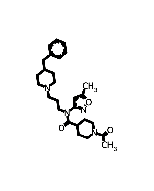 CC(=O)N1CCC(C(=O)N(CCCN2CCC(Cc3ccccc3)CC2)c2cc(C)on2)CC1